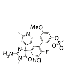 COc1cc(OS(C)(=O)=O)cc(-c2cc(C3(c4ccnc(C)c4)N=C(N)N(C)C3=O)ccc2F)c1.Cl